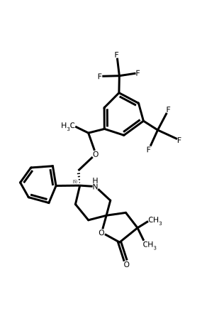 CC(OC[C@@]1(c2ccccc2)CCC2(CN1)CC(C)(C)C(=O)O2)c1cc(C(F)(F)F)cc(C(F)(F)F)c1